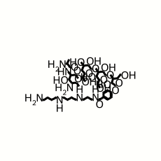 CC(N)C(=O)NC1C(OC2C(CO)OC(OC3C(O)C(CO)OC(OC4C(CO)OC(Oc5ccc(C(=O)NCCCNCCCCNCCCCN)cc5)C4O)C3O)C(O)C2O)OC(C)C(N)C1O